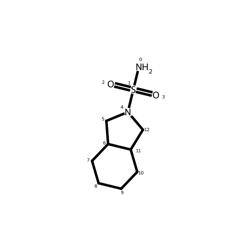 NS(=O)(=O)N1CC2CCCCC2C1